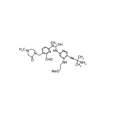 COCCNc1cc(NC(O)N(C)c2ccc(CN3CCN(C)CC3=O)c(C=O)n2)ncc1C#CC(C)(C)N